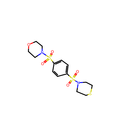 O=S(=O)(c1ccc(S(=O)(=O)N2CCSCC2)cc1)N1CCOCC1